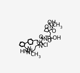 CCCCc1nc(Cl)c(C(=O)NCC(CC2(C(=O)N(C)C(=O)O)CCCC2)C(=O)O)n1Cc1ccc(-c2ccccc2-c2nnn[nH]2)cc1